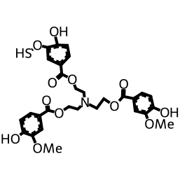 COc1cc(C(=O)OCCN(CCOC(=O)c2ccc(O)c(OC)c2)CCOC(=O)c2ccc(O)c(OS)c2)ccc1O